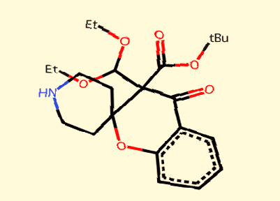 CCOC(OCC)C1(C(=O)OC(C)(C)C)C(=O)c2ccccc2OC12CCNCC2